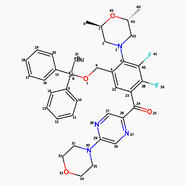 C[C@@H]1CN(c2c(CO[Si](c3ccccc3)(c3ccccc3)C(C)(C)C)cc(C(=O)c3cnc(N4CCOCC4)cn3)c(F)c2F)C[C@@H](C)O1